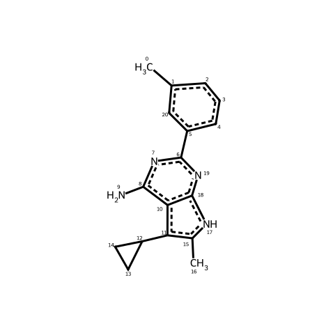 Cc1cccc(-c2nc(N)c3c(C4CC4)c(C)[nH]c3n2)c1